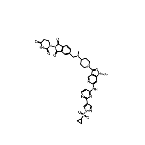 CC(C)n1nc(N2CCC(N(C)Cc3ccc4c(c3)C(=O)N(N3CCC(=O)NC3=O)C4=O)CC2)c2cnc(Nc3ccnc(-c4cnn(S(=O)(=O)C5CC5)c4)n3)cc21